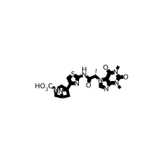 C[C@@H](C(=O)Nc1nc(C23CC(CN(C(=O)O)C2)N3)cs1)n1cnc2c1c(=O)n(C)c(=O)n2C